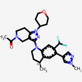 CC(=O)N1CCc2c(c(N3CC[C@H](C)c4cc(-c5cnn(C)c5)c(C(F)F)cc43)nn2C2CCOCC2)C1